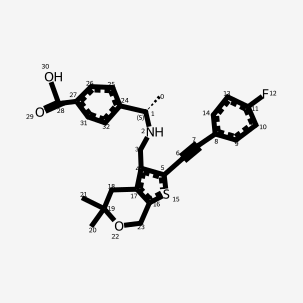 C[C@H](NCc1c(C#Cc2ccc(F)cc2)sc2c1CC(C)(C)OC2)c1ccc(C(=O)O)cc1